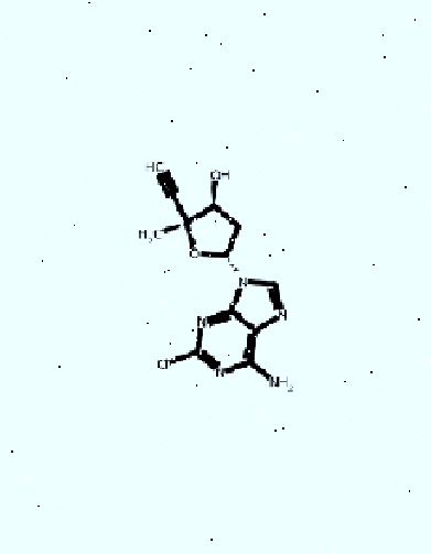 C#C[C@@]1([CH2])O[C@@H](n2cnc3c(N)nc(Cl)nc32)C[C@@H]1O